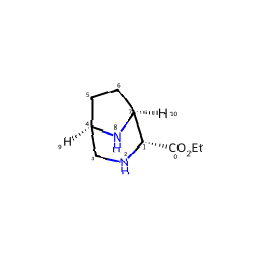 CCOC(=O)[C@@H]1NC[C@H]2CC[C@@H]1N2